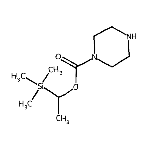 CC(OC(=O)N1CCNCC1)[Si](C)(C)C